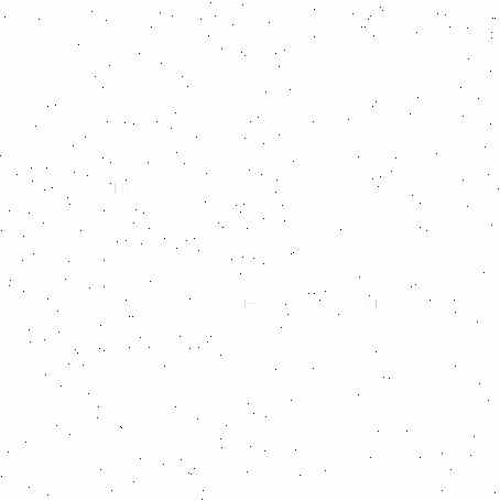 O=C(O)COC(=O)C(S)CC(=O)O